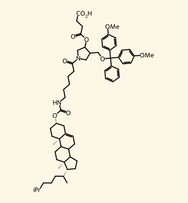 COc1ccc(C(OCC2CN(C(=O)CCCCCNC(=O)O[C@H]3CC[C@@]4(C)C(=CCC5C4CC[C@@]4(C)C5CC[C@@H]4C(C)CCCC(C)C)C3)CC2OC(=O)CCC(=O)O)(c2ccccc2)c2ccc(OC)cc2)cc1